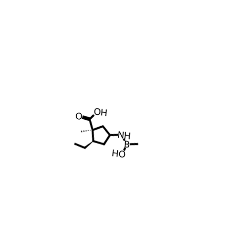 CC[C@@H]1CC(NB(C)O)C[C@]1(C)C(=O)O